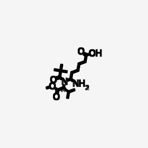 COC(=O)[C@H](C(C)C)N(C(=O)C(C)(C)C)C(N)CCCCC(=O)O